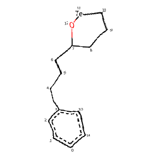 c1ccc(CCCC2CCC[Te]O2)cc1